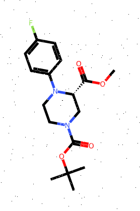 COC(=O)[C@@H]1CN(C(=O)OC(C)(C)C)CCN1c1ccc(F)cc1